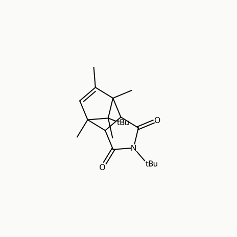 CC1=CC2(C)C3C(=O)N(C(C)(C)C)C(=O)C3C1(C)C2(C)C(C)(C)C